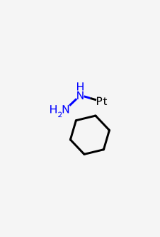 C1CCCCC1.N[NH][Pt]